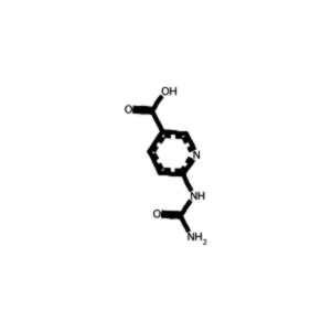 NC(=O)Nc1ccc(C(=O)O)cn1